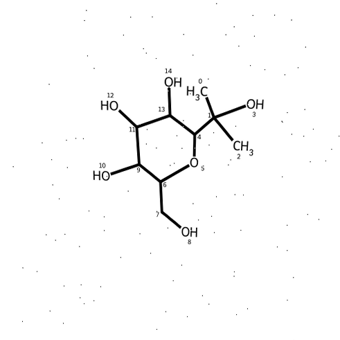 CC(C)(O)C1OC(CO)C(O)C(O)C1O